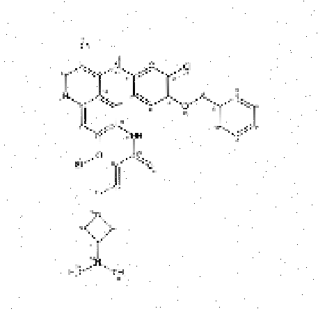 CCOc1cc2ncc(C#N)c(Nc3ccc(OCc4ccccn4)c(Cl)c3)c2cc1NC(=O)C=CCN1CC(N(C)C)C1